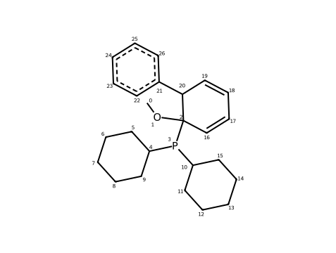 COC1(P(C2CCCCC2)C2CCCCC2)C=CC=CC1c1ccccc1